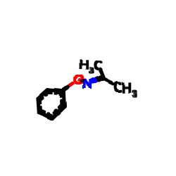 CC(C)=NOc1ccccc1